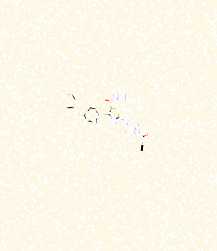 CC#CC(=O)N1CCN(c2nc(-c3ccc(OC(/C=C\C)=C/C)cc3)c(C(N)=O)s2)[C@@H](C)C1